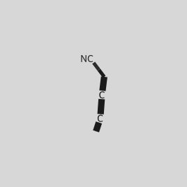 C=C=C=CC#N